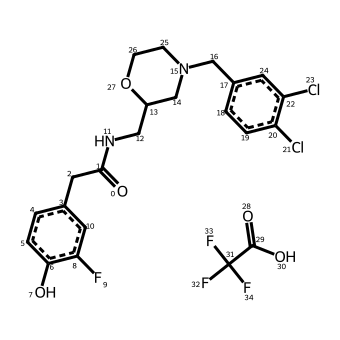 O=C(Cc1ccc(O)c(F)c1)NCC1CN(Cc2ccc(Cl)c(Cl)c2)CCO1.O=C(O)C(F)(F)F